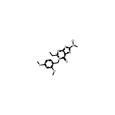 CCc1nc2sc([S+](C)[O-])nc2c(=O)n1Cc1ccc(OC)cc1OC